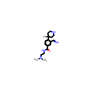 CCC1(c2ccc(C(=O)NCCN(C)C)cc2C=N)CCNCC1